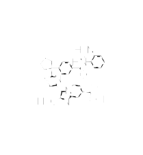 Cc1nc2cc(C(=O)O)ccn2c1-c1csc(C2(c3ccc(C(=O)Nc4ccccc4N)cc3)CCCC2)n1